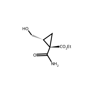 CCOC(=O)[C@]1(C(N)=O)C[C@H]1CO